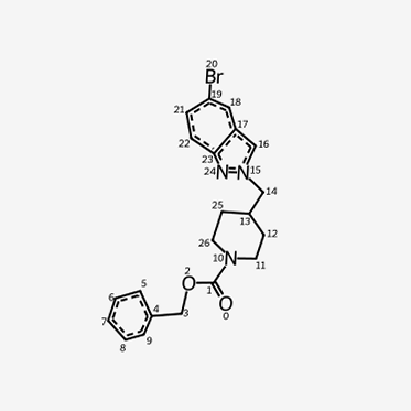 O=C(OCc1ccccc1)N1CCC(Cn2cc3cc(Br)ccc3n2)CC1